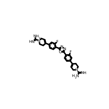 N=C(N)N1CC=C(c2ccc(-c3nnc(-c4ccc(C5=CCN(C(=N)N)CC5)cc4F)o3)c(F)c2)CC1